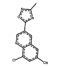 Cc1noc(-c2cnc3c(Cl)cc(C#N)cc3c2)n1